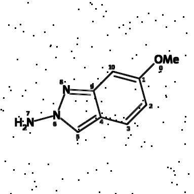 COc1ccc2cn(N)nc2c1